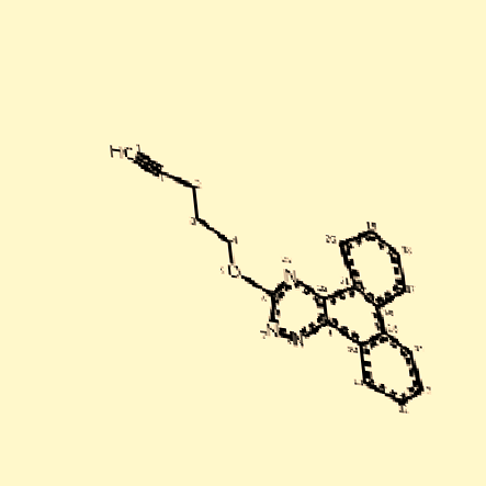 C#CCCCOc1nnc2c3ccccc3c3ccccc3c2n1